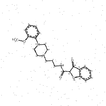 COc1ccccc1N1CCN(CCCNC(=O)C2Oc3ccccc3C2=O)CC1